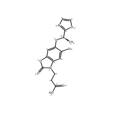 C[C@@H](Oc1cc2oc(=O)n(CCC(=O)O)c2cc1Cl)c1ncco1